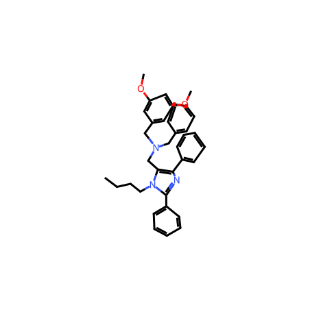 CCCCn1c(-c2ccccc2)nc(-c2ccccc2)c1CN(Cc1ccccc1)Cc1cc(OC)cc(OC)c1